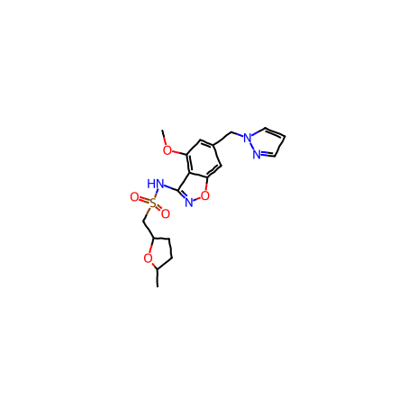 COc1cc(Cn2cccn2)cc2onc(NS(=O)(=O)CC3CCC(C)O3)c12